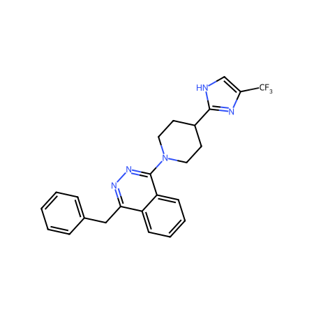 FC(F)(F)c1c[nH]c(C2CCN(c3nnc(Cc4ccccc4)c4ccccc34)CC2)n1